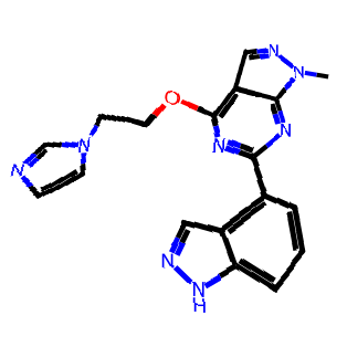 Cn1ncc2c(OCCn3ccnc3)nc(-c3cccc4[nH]ncc34)nc21